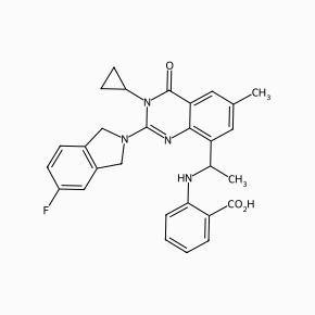 Cc1cc(C(C)Nc2ccccc2C(=O)O)c2nc(N3Cc4ccc(F)cc4C3)n(C3CC3)c(=O)c2c1